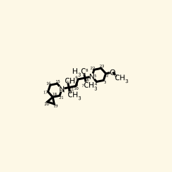 COC1CCN(C(C)(C)CCC(C)(C)N2CCCC3(CC3)C2)CC1